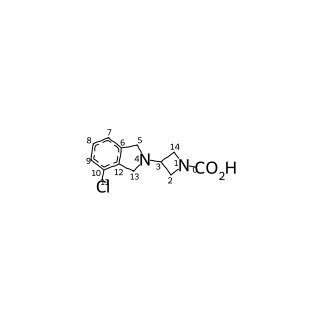 O=C(O)N1CC(N2Cc3cccc(Cl)c3C2)C1